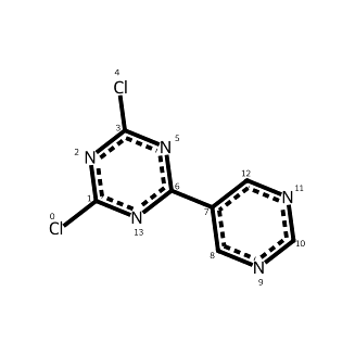 Clc1nc(Cl)nc(-c2cncnc2)n1